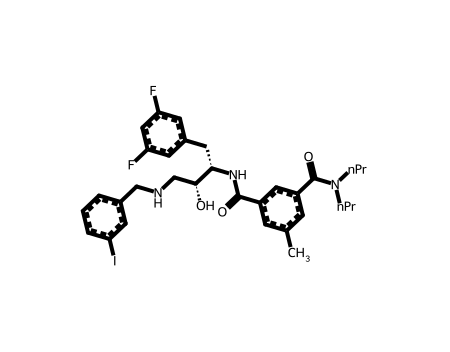 CCCN(CCC)C(=O)c1cc(C)cc(C(=O)N[C@@H](Cc2cc(F)cc(F)c2)[C@H](O)CNCc2cccc(I)c2)c1